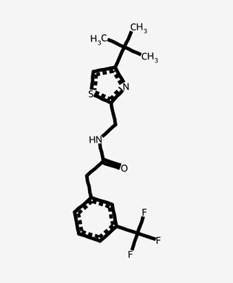 CC(C)(C)c1csc(CNC(=O)Cc2cccc(C(F)(F)F)c2)n1